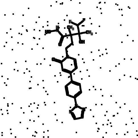 CC(CCn1ccc(-c2ccc(-n3nccn3)cc2)cc1=O)(C(=O)NO)C(C)(O)C(F)F